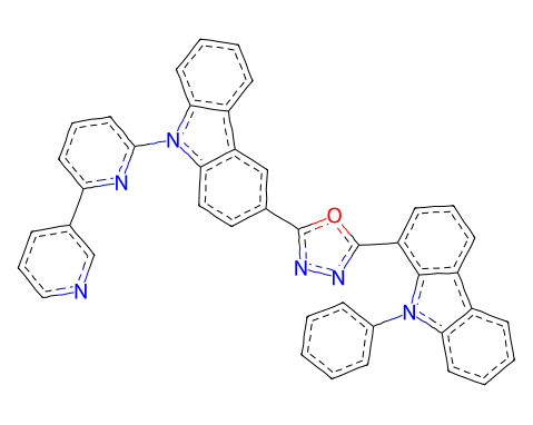 c1ccc(-n2c3ccccc3c3cccc(-c4nnc(-c5ccc6c(c5)c5ccccc5n6-c5cccc(-c6cccnc6)n5)o4)c32)cc1